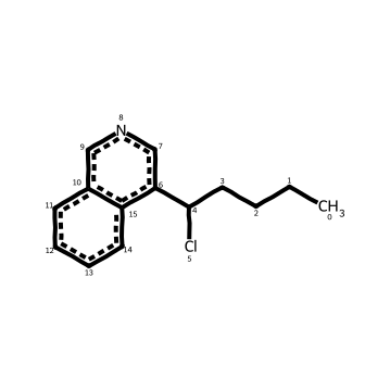 CCCCC(Cl)c1cncc2ccccc12